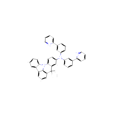 CC1(C)c2cc(N(c3cccc(-c4ccccn4)c3)c3cccc(-c4ccccn4)c3)ccc2-n2c3ccccc3c3cccc1c32